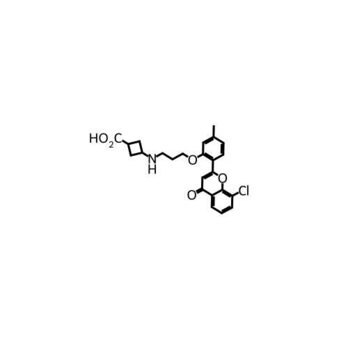 Cc1ccc(-c2cc(=O)c3cccc(Cl)c3o2)c(OCCCNC2CC(C(=O)O)C2)c1